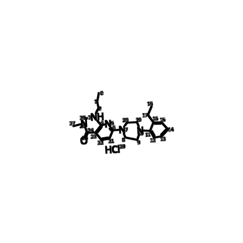 CCCNc1nc(N2CCN(c3ccccc3CC)CC2)ccc1C(=O)N(C)C.Cl